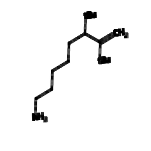 C=C(C(CCCCCN)C(C)(C)C)C(C)(C)C